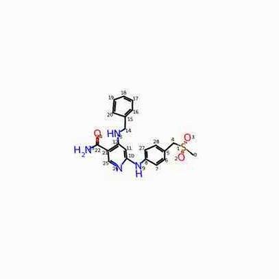 CS(=O)(=O)Cc1ccc(Nc2cc(NCc3ccccc3)c(C(N)=O)cn2)cc1